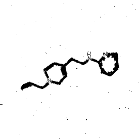 C=CCN1C=CC(CCNc2ccccn2)=CC1